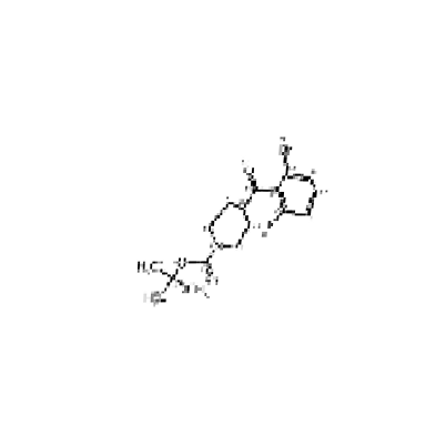 CC(C)(C)OC(=O)N1CCC(C(=O)c2c(F)cccc2Br)CC1